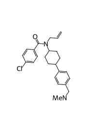 C=CCN(C(=O)c1ccc(Cl)cc1)C1CCC(c2ccc(CNC)cc2)CC1